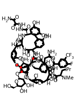 CN[C@H](CC(C)C)C(=O)N[C@H]1C(=O)N[C@@H](CC(N)=O)C(=O)N[C@H]2C(=O)N[C@H]3C(=O)N[C@H](C(=O)N[C@@H](C(=O)NNC(=O)C(N)=O)c4cc(O)cc(O)c4-c4cc3ccc4O)[C@H](O)c3ccc(c(Cl)c3)Oc3cc2cc(c3O[C@@H]2O[C@H](CO)[C@@H](O)[C@H](O)[C@H]2O[C@H]2C[C@](C)(NCc3ccc(NC(=O)c4ccc(F)c(C(F)(F)F)c4)cc3)[C@H](O)[C@H](C)O2)Oc2ccc(cc2Cl)[C@H]1O